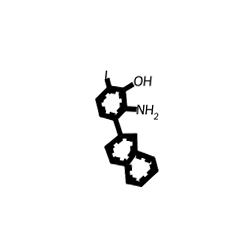 Nc1c(-c2ccc3ccccc3c2)ccc(I)c1O